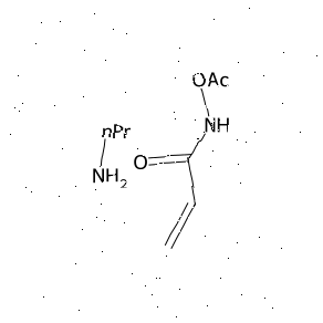 C=CC(=O)NOC(C)=O.CCCN